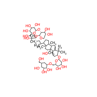 C[C@H](CC[C@@H](O[C@@H]1OC[C@@H](O)[C@H](O)[C@H]1O[C@H]1O[C@@H](CO)[C@H](O)[C@@H](O)[C@@H]1O)C(C)(C)O)C1CC[C@@]2(C)C3CC=C4C(CC[C@H](O[C@@H]5O[C@H](CO[C@@H]6C[C@H](CO)[C@@H](O)[C@H](O)[C@H]6O)[C@@H](O)[C@H](O)[C@H]5O)C4(C)C)[C@]3(C)[C@H](O)C[C@]12C